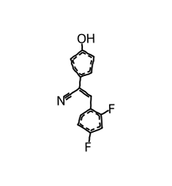 N#C/C(=C\c1ccc(F)cc1F)c1ccc(O)cc1